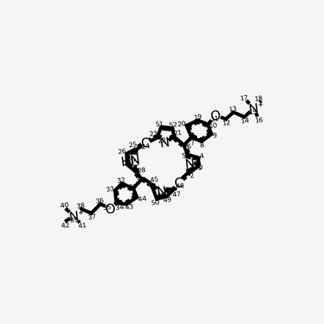 Cn1c2ccc1c(-c1ccc(OCCC[N+](C)(C)C)cc1)c1nc(cc3ccc([nH]3)c(-c3ccc(OCCC[N+](C)(C)C)cc3)c3nc(c2)C=C3)C=C1